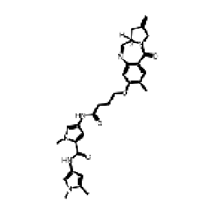 C=C1C[C@H]2C=Nc3cc(OCCCC(=O)Nc4cc(C(=O)Nc5cc(C)n(C)c5)n(C)c4)c(C)cc3C(=O)N2C1